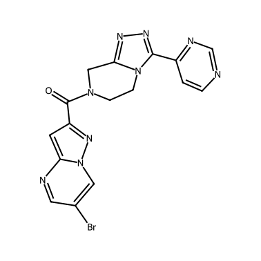 O=C(c1cc2ncc(Br)cn2n1)N1CCn2c(nnc2-c2ccncn2)C1